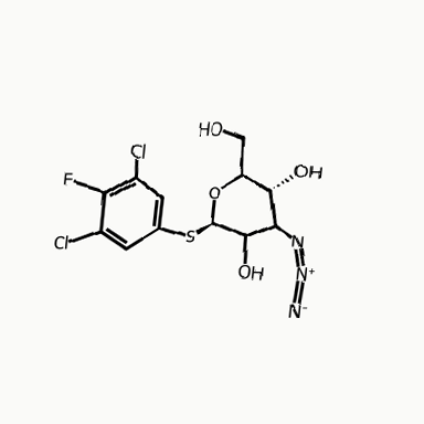 [N-]=[N+]=NC1C(O)[C@@H](Sc2cc(Cl)c(F)c(Cl)c2)OC(CO)[C@@H]1O